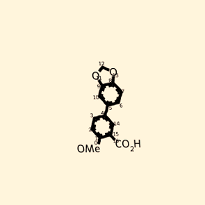 COc1ccc(-c2ccc3c(c2)OCO3)cc1C(=O)O